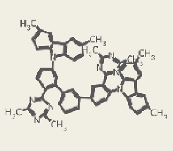 Cc1ccc2c(c1)c1cc(C)ccc1n2-c1ccc(-c2nc(C)nc(C)n2)c(-c2cccc(-c3ccc(-n4c5ccc(C)cc5c5cc(C)ccc54)c(-c4nc(C)nc(C)n4)c3)c2)c1